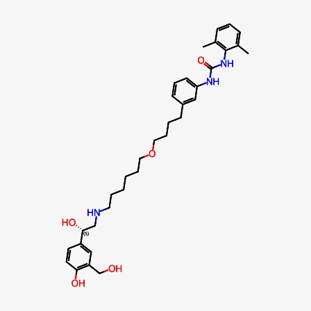 Cc1cccc(C)c1NC(=O)Nc1cccc(CCCCOCCCCCCNC[C@@H](O)c2ccc(O)c(CO)c2)c1